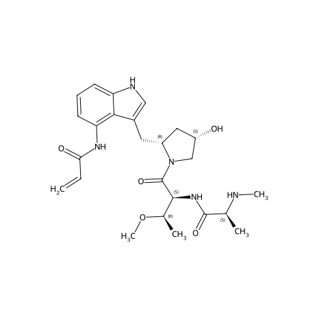 C=CC(=O)Nc1cccc2[nH]cc(C[C@@H]3C[C@H](O)CN3C(=O)[C@@H](NC(=O)[C@H](C)NC)[C@@H](C)OC)c12